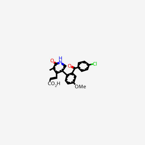 COc1ccc(-c2c[nH]c(=O)c(C)c2C=CC(=O)O)c(C(=O)c2ccc(Cl)cc2)c1